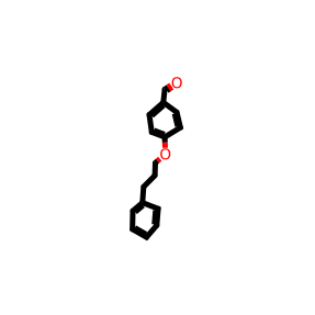 O=Cc1ccc(OCCCc2ccccc2)cc1